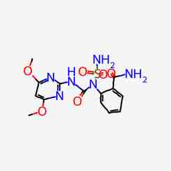 COc1cc(OC)nc(NC(=O)N(c2ccccc2C(N)=O)S(N)(=O)=O)n1